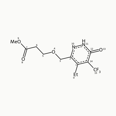 CCc1c(COCCC(=O)OC)n[nH]c(=O)c1C(F)(F)F